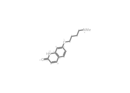 CNCCCCOc1ccc2ccc(=O)[nH]c2c1